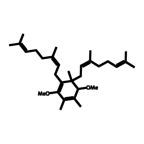 COC1=C(CC=C(C)CCC=C(C)C)C(C)(CC=C(C)CCC=C(C)C)C(OC)C(C)=C1C